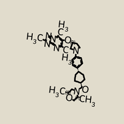 Cc1nc2nc(C)c(O[C@@H]3CCN(c4ccc([C@H]5CC[C@H](C(=O)N6C[C@H](C)OC[C@H]6C)CC5)cc4)C3)c(C)n2n1